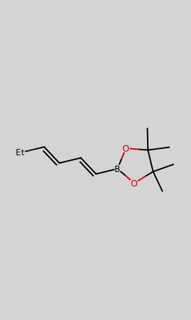 CCC=CC=CB1OC(C)(C)C(C)(C)O1